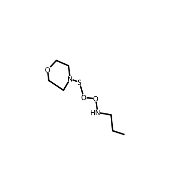 CCCNOOSN1CCOCC1